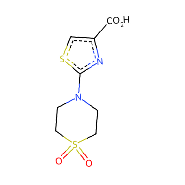 O=C(O)c1csc(N2CCS(=O)(=O)CC2)n1